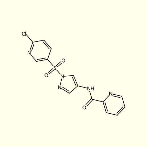 O=C(Nc1cnn(S(=O)(=O)c2ccc(Cl)nc2)c1)c1ccccn1